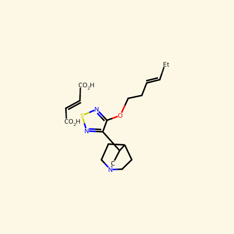 CC/C=C/CCOc1nsnc1C1CN2CCC1CC2.O=C(O)/C=C/C(=O)O